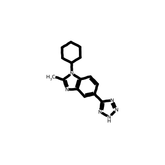 Cc1nc2cc(-c3nn[nH]n3)ccc2n1C1CCCCC1